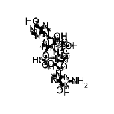 [N-]=[N+]=N[C@H]1[C@H]2OP(=O)(O)OC[C@H]3O[C@@H](n4cnc5c(O)ncnc54)[C@H](O)[C@@H]3OP(=O)(O)OC[C@H]1O[C@H]2n1cnc2c(=O)[nH]c(N)nc21